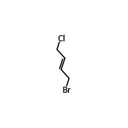 ClCC=CCBr